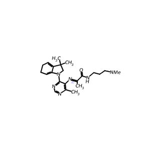 CNCCCNC(=O)/C(C)=N/c1c(C)ncnc1N1CC(C)(C)C2=CCCC=C21